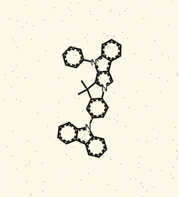 CC1(C)c2cc(-n3c4ccccc4c4ccccc43)ccc2-n2cc3c4ccccc4n(-c4ccccc4)c3c21